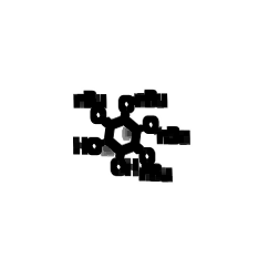 CCCCOC1C(OCCCC)[C@H](OCCCC)C(OCCCC)C(O)[C@@H]1O